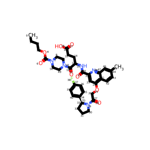 CCCCOC(=O)N1CCN(C(=O)C(CCC(=O)O)NC(=O)c2cc(OCC(=O)N3CCC[C@H]3c3ccc(F)cc3)c3ccc(C)cc3n2)CC1